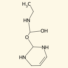 CCNC(O)OC1NC=CCN1